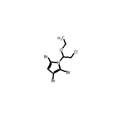 CCOC(CCl)n1c(Br)cc(Br)c1Br